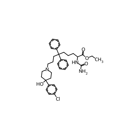 CCOC(=O)C(CCCC(CCCN1CCC(O)(c2ccc(Cl)cc2)CC1)(c1ccccc1)c1ccccc1)NC(N)=O